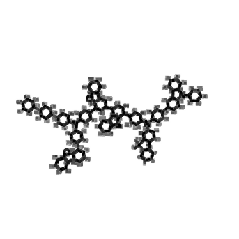 CC1(C)c2ccccc2-c2ccc(N(c3ccc(-c4ccc5c(c4)c4ccccc4n5-c4ccccc4)cc3)c3ccc(-c4ccc(-c5cc(-c6ccc(N(c7ccc(-c8ccc(-c9ccccc9)cc8)cc7)c7ccc(-c8cccc9c8oc8ccccc89)cc7)cc6)c6oc7ccccc7c6c5)c5c4sc4ccccc45)cc3)cc21